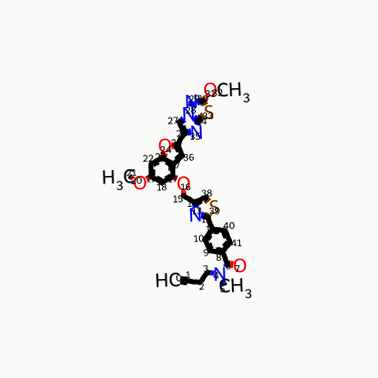 C#CCCN(C)C(=O)c1ccc(-c2nc(COc3cc(OC)cc4oc(-c5cn6nc(OC)sc6n5)cc34)cs2)cc1